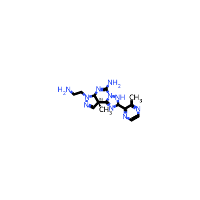 Cc1nccnc1C1N=C2N(N1)C(N)=NC1N(CCN)N=C[C@@]21C